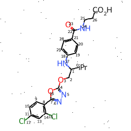 CC(C)C(COc1nnc(-c2ccc(Cl)cc2Cl)o1)Nc1ccc(C(=O)NCCC(=O)O)cc1